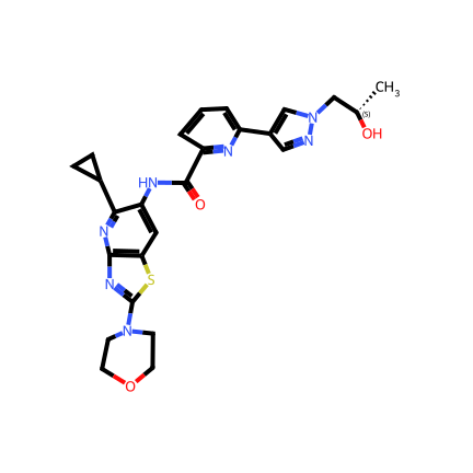 C[C@H](O)Cn1cc(-c2cccc(C(=O)Nc3cc4sc(N5CCOCC5)nc4nc3C3CC3)n2)cn1